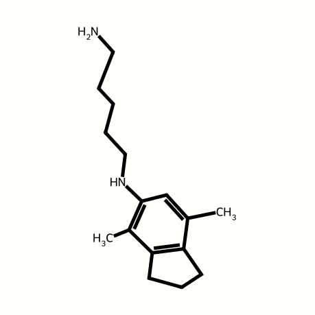 Cc1cc(NCCCCCN)c(C)c2c1CCC2